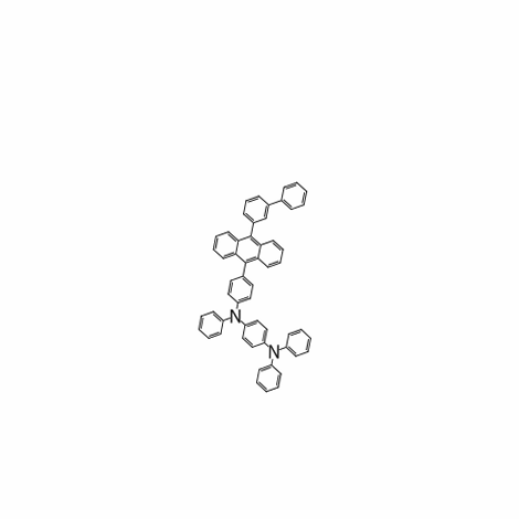 c1ccc(-c2cccc(-c3c4ccccc4c(-c4ccc(N(c5ccccc5)c5ccc(N(c6ccccc6)c6ccccc6)cc5)cc4)c4ccccc34)c2)cc1